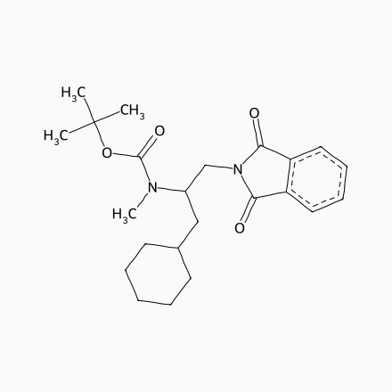 CN(C(=O)OC(C)(C)C)C(CC1CCCCC1)CN1C(=O)c2ccccc2C1=O